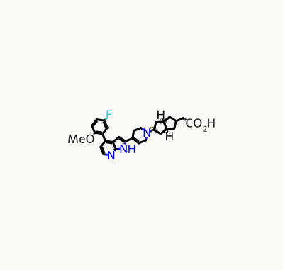 COc1ccc(F)cc1-c1ccnc2[nH]c(C3=CCN([C@H]4C[C@H]5CC(CC(=O)O)C[C@H]5C4)CC3)cc12